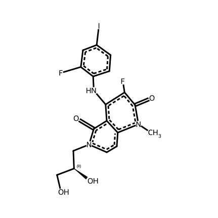 Cn1c(=O)c(F)c(Nc2ccc(I)cc2F)c2c(=O)n(C[C@@H](O)CO)ccc21